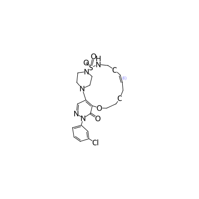 O=c1c2c(cnn1-c1cccc(Cl)c1)N1CCN(CC1)S(=O)(=O)NCC/C=C/CCCCO2